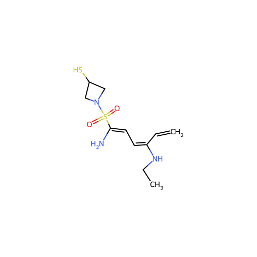 C=C/C(=C\C=C(/N)S(=O)(=O)N1CC(S)C1)NCC